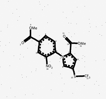 COC(=O)c1ccc(-n2cc(SC(F)(F)F)cc2C(=O)OC)c([N+](=O)[O-])c1